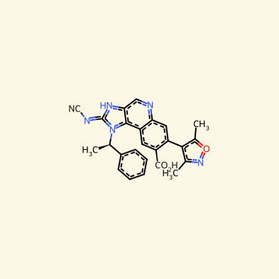 Cc1noc(C)c1-c1cc2ncc3[nH]c(=NC#N)n([C@H](C)c4ccccc4)c3c2cc1C(=O)O